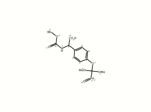 COC(OC)(Oc1ccc(C(NC(=O)OC(C)(C)C)C(=O)O)cc1)[PH2]=O